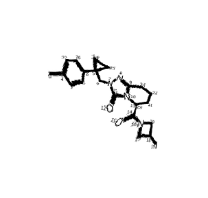 Cc1ccc(C2(Cn3nc4n(c3=O)[C@H](C(=O)N3CC(I)C3)CCC4)CC2)cc1